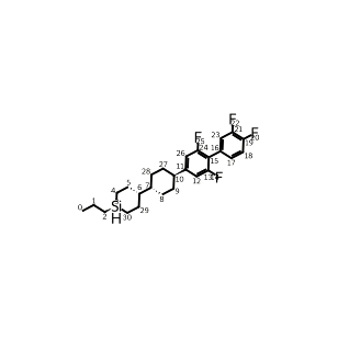 CCC[Si@H]1CC[C@H]([C@H]2CC[C@H](c3cc(F)c(-c4ccc(F)c(F)c4)c(F)c3)CC2)CC1